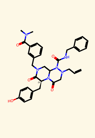 C=CCN1CC(=O)N2C(CN(Cc3cccc(C(=O)N(C)C)c3)C(=O)[C@@H]2Cc2ccc(O)cc2)N1C(=O)NCc1ccccc1